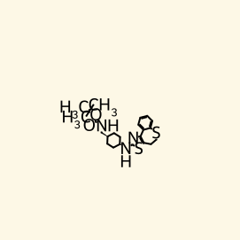 CC(C)(C)OC(=O)NC[C@H]1CC[C@H](Nc2nc3c(s2)CCSc2ccccc2-3)CC1